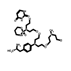 CN(CCCl)CCCl.N[C@@H](Cc1ccc(N(CCCl)CCCl)cc1)C(=O)O.O=P1(N(CCCl)CCCl)NCCCO1.O=c1cc[nH]c(=O)[nH]1